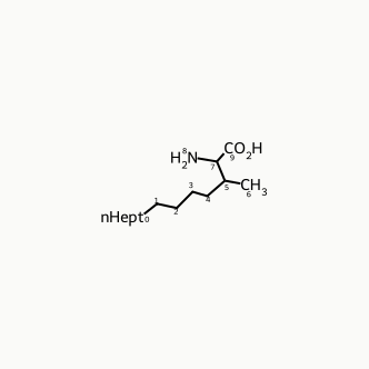 CCCCCCCCCCCC(C)C(N)C(=O)O